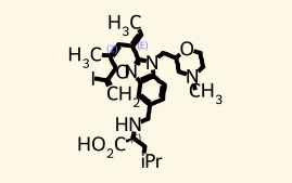 C=C(I)C(=O)/C(C)=C\C(=C/C)c1nc2cc(CN[C@@H](CC(C)C)C(=O)O)ccc2n1CC1CN(C)CCO1